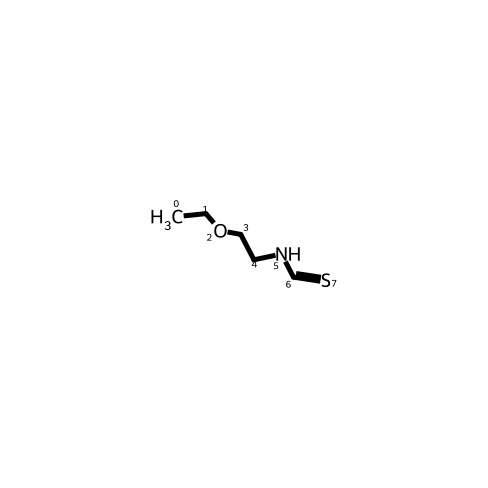 CCOCCNC=S